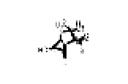 CC1C(=O)N2C1SC(C)(C)C2C(=O)O